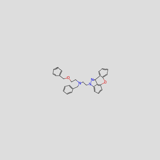 c1ccc(COCCN(CCn2nc3c4c(cccc42)Oc2ccccc2-3)Cc2ccccc2)cc1